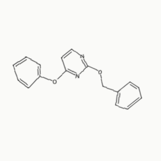 c1ccc(COc2nccc(Oc3ccccc3)n2)cc1